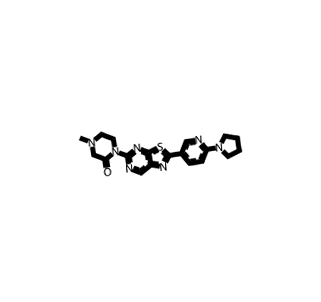 CN1CCN(c2ncc3nc(-c4ccc(N5CCCC5)nc4)sc3n2)C(=O)C1